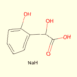 O=C(O)C(O)c1ccccc1O.[NaH]